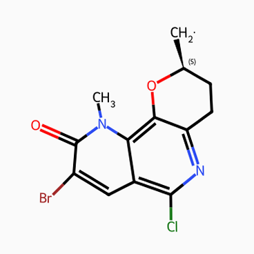 [CH2][C@H]1CCc2nc(Cl)c3cc(Br)c(=O)n(C)c3c2O1